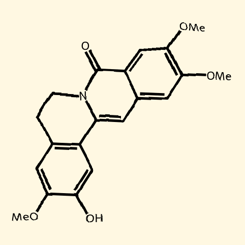 COc1cc2c(cc1O)-c1cc3cc(OC)c(OC)cc3c(=O)n1CC2